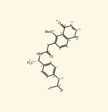 COc1c(CC(=O)N[C@@H](C)c2ccc(OC(F)F)cc2)ccc2[nH]nnc(=O)c12